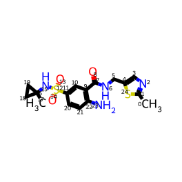 Cc1ncc(CNC(=O)c2cc(S(=O)(=O)NC3(C)CC3)ccc2N)s1